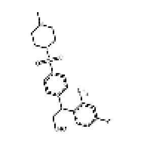 CN1CCN(S(=O)(=O)c2ccc(C(CC=O)c3ccc(Cl)cc3N)cc2)CC1